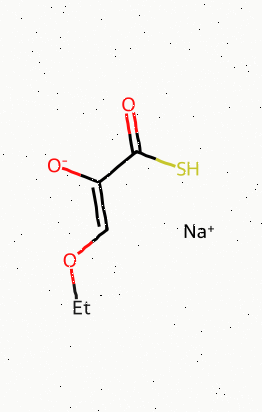 CCOC=C([O-])C(=O)S.[Na+]